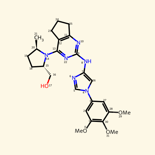 COc1cc(-n2cnc(Nc3nc4c(c(N5[C@H](CO)CC[C@H]5C)n3)CCC4)c2)cc(OC)c1OC